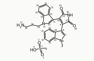 CS(=O)(=O)O.Cn1cc(C2=C(c3cn(CCCN)c4ccccc34)C(=O)NC2=O)c2ccccc21